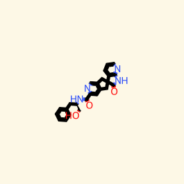 O=C(N[C@@H](CO)Cc1ccccc1)c1cc2c(cn1)CC1(C2)C(=O)Nc2ncccc21